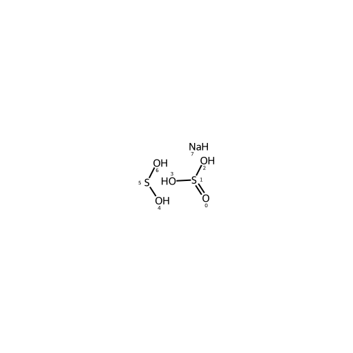 O=S(O)O.OSO.[NaH]